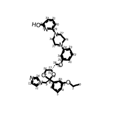 CCOc1cccc([C@]2(Cn3ccnc3)OC[C@H](COc3cccc(N4CCN(c5cccc(O)n5)CC4)c3)O2)c1